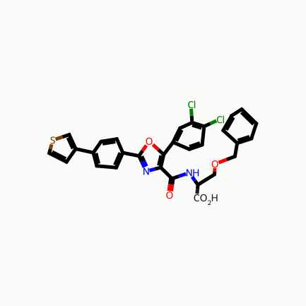 O=C(NC(COCc1ccccc1)C(=O)O)c1nc(-c2ccc(-c3ccsc3)cc2)oc1-c1ccc(Cl)c(Cl)c1